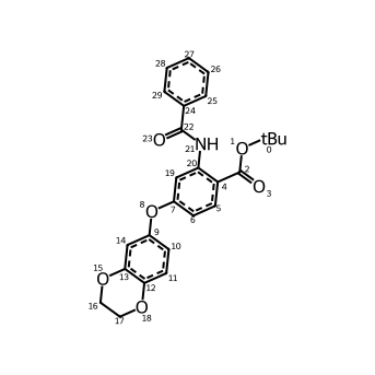 CC(C)(C)OC(=O)c1ccc(Oc2ccc3c(c2)OCCO3)cc1NC(=O)c1ccccc1